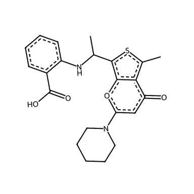 Cc1sc(C(C)Nc2ccccc2C(=O)O)c2oc(N3CCCCC3)cc(=O)c12